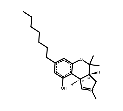 CCCCCCCc1cc(O)c2c(c1)OC(C)(C)[C@@H]1C[N+](C)=C[C@@H]21